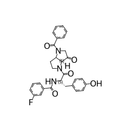 O=C(N[C@@H](Cc1ccc(O)cc1)C(=O)N1CCC2[C@H]1C(=O)CN2C(=O)c1ccccc1)c1cccc(F)c1